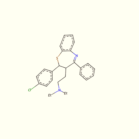 CCN(CC)CCC1C(c2ccccc2)=Nc2ccccc2SC1c1ccc(Cl)cc1